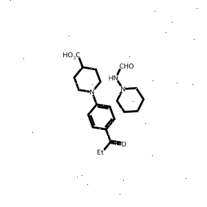 CCC(=O)c1ccc(N2CCC(C(=O)O)CC2)cc1.O=CNN1CCCCC1